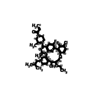 C=CC(=O)N1CCN(c2nc(=O)n3c4nc(c(F)cc24)-c2c(ccc(Cl)c2F)OCC(OCC)C(O)C2=C3[C@@H](C)N(CC(C)C)C=C2)[C@@H](C)C1